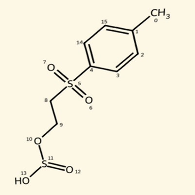 Cc1ccc(S(=O)(=O)CCOS(=O)O)cc1